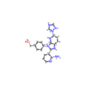 Nc1ncccc1-c1nc2ccc(-n3cncn3)nc2n1-c1ccc(CO)cc1